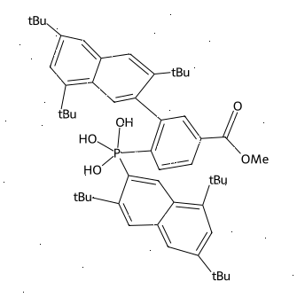 COC(=O)c1ccc(P(O)(O)(O)c2cc3c(C(C)(C)C)cc(C(C)(C)C)cc3cc2C(C)(C)C)c(-c2cc3c(C(C)(C)C)cc(C(C)(C)C)cc3cc2C(C)(C)C)c1